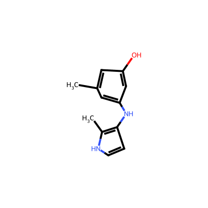 Cc1cc(O)cc(Nc2cc[nH]c2C)c1